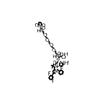 CC(C)(C)[C@H](c1cc(-c2cc(F)ccc2F)cn1Cc1ccccc1)N(C[C@H]1CNC[C@@H]1F)C(=O)CSC[C@H](NC(=O)CCOCCOCCOCCOCCNC(=O)CN1C(=O)C=CC1=O)C(=O)O